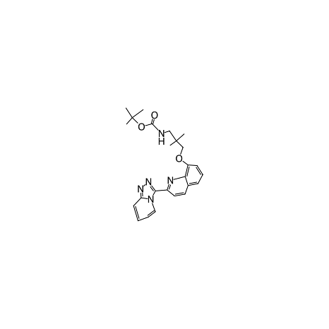 CC(C)(CNC(=O)OC(C)(C)C)COc1cccc2ccc(-c3nnc4ccccn34)nc12